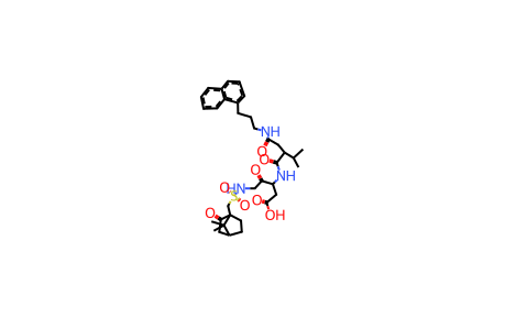 CC(C)C(CC(=O)NCCCc1cccc2ccccc12)C(=O)NC(CC(=O)O)C(=O)CNS(=O)(=O)CC12CCC(CC1=O)C2(C)C